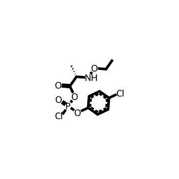 CCON[C@@H](C)C(=O)OP(=O)(Cl)Oc1ccc(Cl)cc1